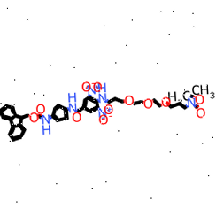 CC1(C)OC(=O)N1CCCOCCOCCOCCCNc1c([N+](=O)[O-])cc(C(=O)Nc2ccc(NC(=O)OCC3c4ccccc4-c4ccccc43)cc2)cc1[N+](=O)[O-]